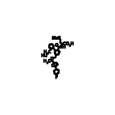 CSCCC(NC(=O)c1ccc(COC(C)c2ccc(-c3ccc(F)cc3)o2)cc1-c1ccccc1C)C(=O)O.[LiH]